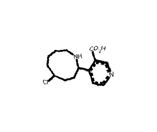 O=C(O)c1cnccc1C1CCC(Cl)CCCCN1